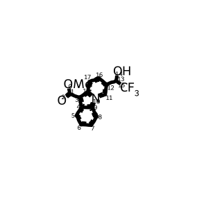 COC(=O)c1c2ccccc2n2cc(C(O)C(F)(F)F)ccc12